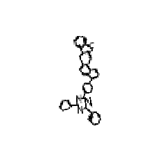 c1ccc(-c2nc(-c3ccccc3)nc(-c3ccc(-c4cccc5c4ccc4cc6c(cc45)sc4ccccc46)cc3)n2)cc1